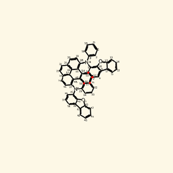 c1ccc(N(c2cccc3c2oc2ccccc23)c2ccc3ccc4ccc(N(c5ccccc5)c5cccc6c5oc5ccccc56)c5c6ccccc6c2c3c45)cc1